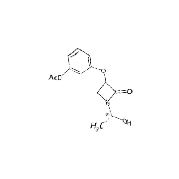 CC(=O)Oc1cccc(OC2CN([C@@H](C)O)C2=O)c1